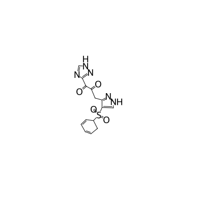 O=C(Cc1n[nH]cc1S(=O)(=O)C1C=CC=CC1)C(=O)c1nc[nH]n1